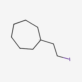 ICC[C]1CCCCCC1